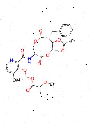 CCOC(C)C(=O)OCOc1c(OC)ccnc1C(=O)N[C@H]1COC(=O)[C@H](Cc2ccccc2)[C@@H](OC(=O)C(C)C)[C@H](C)OC1=O